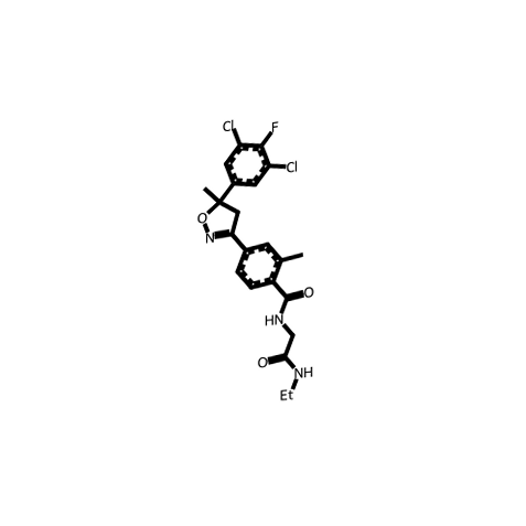 CCNC(=O)CNC(=O)c1ccc(C2=NOC(C)(c3cc(Cl)c(F)c(Cl)c3)C2)cc1C